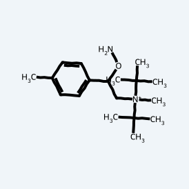 Cc1ccc(C(C[N+](C)(C(C)(C)C)C(C)(C)C)ON)cc1